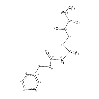 CNC(=O)C(=O)CC[C@@H](C)NC(=O)OCc1ccccc1